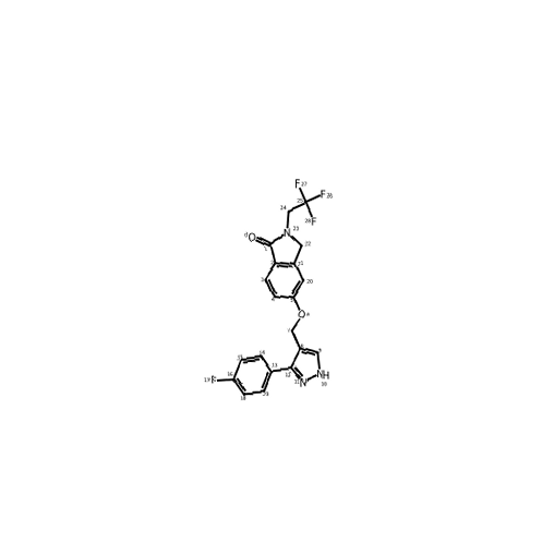 O=C1c2ccc(OCc3c[nH]nc3-c3ccc(F)cc3)cc2CN1CC(F)(F)F